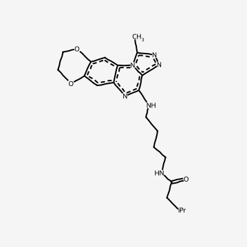 Cc1nnc2c(NCCCCNC(=O)CC(C)C)nc3cc4c(cc3n12)OCCO4